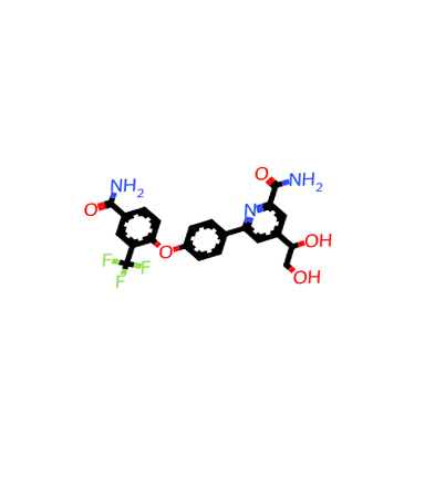 NC(=O)c1ccc(Oc2ccc(-c3cc(C(O)CO)cc(C(N)=O)n3)cc2)c(C(F)(F)F)c1